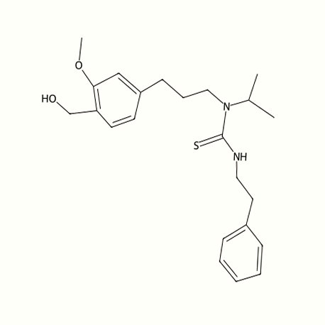 COc1cc(CCCN(C(=S)NCCc2ccccc2)C(C)C)ccc1CO